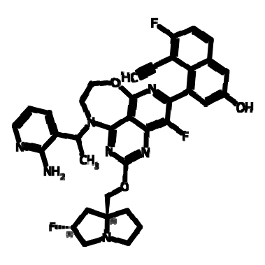 C#Cc1c(F)ccc2cc(O)cc(-c3nc4c5c(nc(OC[C@@]67CCCN6C[C@H](F)C7)nc5c3F)N(C(C)c3cccnc3N)CCO4)c12